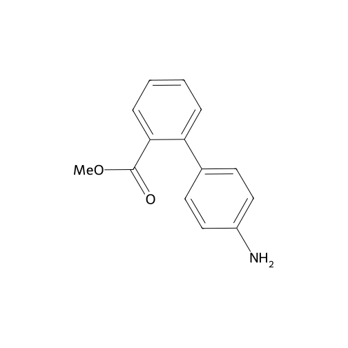 COC(=O)c1ccccc1-c1ccc(N)cc1